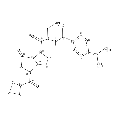 CC(C)CC(NC(=O)c1ccc(N(C)C)cc1)C(=O)N1CCC2C1C(=O)CN2C(=O)C1CCC1